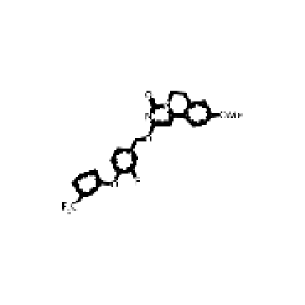 COc1ccc2c(c1)CCn1c-2cc(OCc2ccc(Oc3cccc(C(F)(F)F)c3)c(F)c2)nc1=O